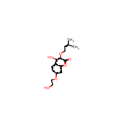 CC(C)=CCOc1c(O)c2ccc(OCCO)cc2oc1=O